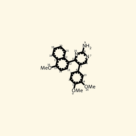 COc1ccc(-c2cnc(N)nc2-c2ccc(OC)c3ccccc23)cc1OC